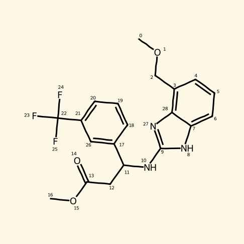 COCc1cccc2[nH]c(NC(CC(=O)OC)c3cccc(C(F)(F)F)c3)nc12